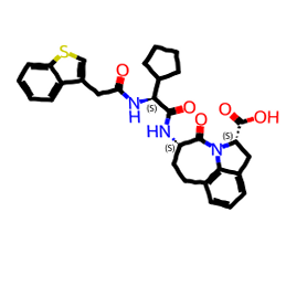 O=C(Cc1csc2ccccc12)N[C@H](C(=O)N[C@H]1CCc2cccc3c2N(C1=O)[C@H](C(=O)O)C3)C1CCCC1